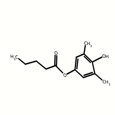 CCCCC(=O)Oc1cc(C)c(O)c(C)c1